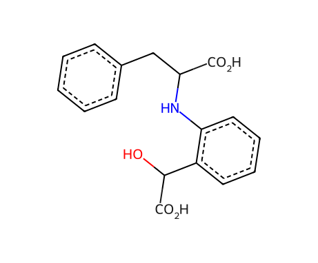 O=C(O)C(Cc1ccccc1)Nc1ccccc1C(O)C(=O)O